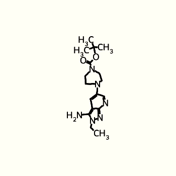 CCn1nc2ncc(N3CCN(C(=O)OC(C)(C)C)CC3)cc2c1N